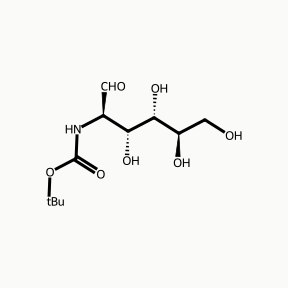 CC(C)(C)OC(=O)N[C@@H](C=O)[C@@H](O)[C@H](O)[C@H](O)CO